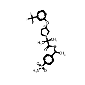 CC(NC(=O)C(C)(C)N1CC[C@@H](Oc2cccc(C(F)(F)F)c2)C1)c1ccc(S(N)(=O)=O)cc1